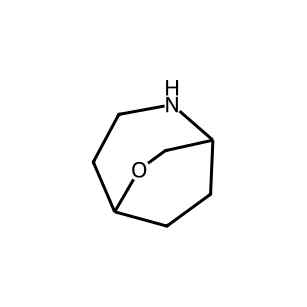 C1CC2CCC(CO2)N1